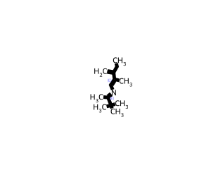 C=C(CC)/C(C)=C/N=C(\C)C(C)(C)C